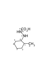 CC1CCCCC1NNC(=O)O